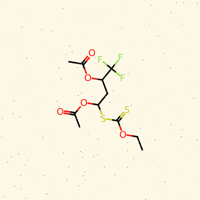 CCOC(=S)SC(CC(OC(C)=O)C(F)(F)F)OC(C)=O